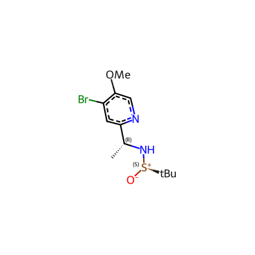 COc1cnc([C@@H](C)N[S@+]([O-])C(C)(C)C)cc1Br